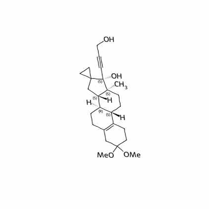 COC1(OC)CCC2=C(CC[C@@H]3[C@@H]2CC[C@@]2(C)[C@H]3CC3(CC3)[C@@]2(O)C#CCO)C1